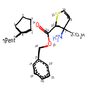 CCCCCC1CCCC1.NC1(C(=O)O)C=CSC1C(=O)OCc1ccccc1